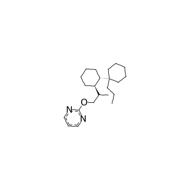 CCCC1([C@H]2CCCC[C@@H]2C(C)COc2ncccn2)CCCCC1